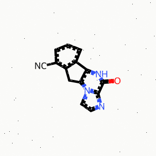 N#Cc1cccc2c1Cc1c-2[nH]c(=O)c2nccn12